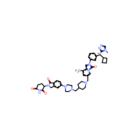 Cn1cnnc1[C@@H](c1cccc(-n2cc3c(C(F)(F)F)cc(CN4CCC(CN5CCN(c6ccc7c(c6)CN(C6CCC(=O)NC6=O)C7=O)CC5)CC4)cn3c2=O)c1)C1CCC1